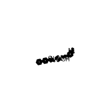 Cc1nc2cc(OC[C@@H](O)CN3CCN(Cc4cc(-c5ccc(-c6ccccc6)cc5)on4)C[C@@H]3C)ccc2s1